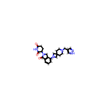 O=C1CCC(N2Cc3c(cccc3N3CC4(CCN(Cc5cn[nH]c5)CC4)C3)C2=O)C(=O)N1